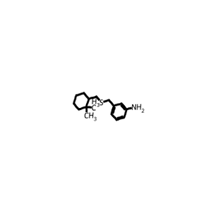 CC1(C)CCCCC1CSCc1cccc(N)c1